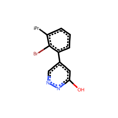 CC(C)c1cccc(-c2cnnc(O)c2)c1Br